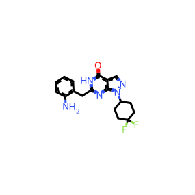 Nc1ccccc1Cc1nc2c(cnn2C2CCC(F)(F)CC2)c(=O)[nH]1